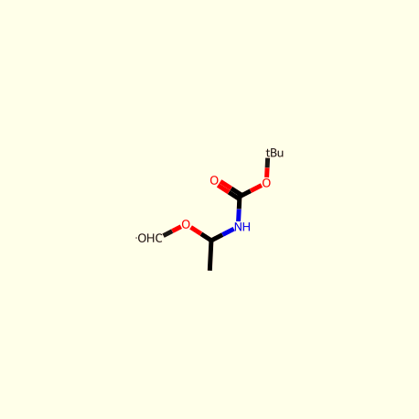 CC(NC(=O)OC(C)(C)C)O[C]=O